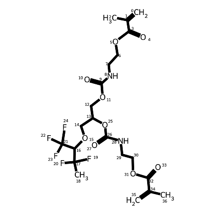 C=C(C)C(=O)OCCNC(=O)OCC(COC(C(C)(F)F)C(F)(F)F)OC(=O)NCCOC(=O)C(=C)C